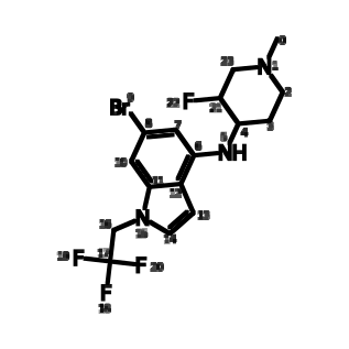 CN1CCC(Nc2cc(Br)cc3c2ccn3CC(F)(F)F)C(F)C1